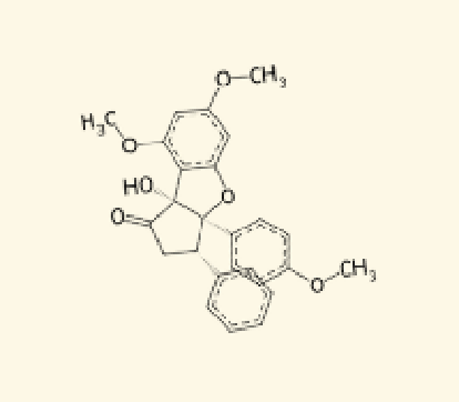 COc1ccc([C@@]23Oc4cc(OC)cc(OC)c4[C@]2(O)C(=O)C[C@H]3c2ccccc2)cc1